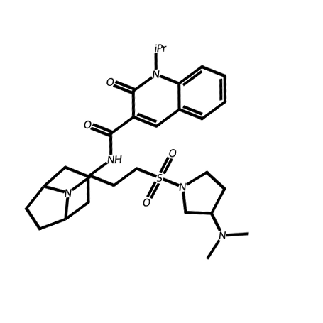 CC(C)n1c(=O)c(C(=O)NC2CC3CCC(C2)N3CCCS(=O)(=O)N2CCC(N(C)C)C2)cc2ccccc21